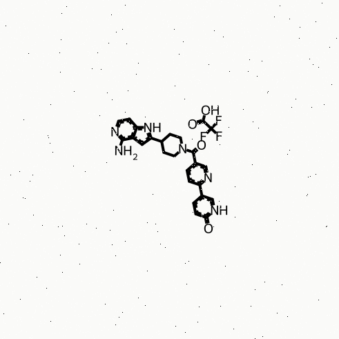 Nc1nccc2[nH]c(C3CCN(C(=O)c4ccc(-c5ccc(=O)[nH]c5)nc4)CC3)cc12.O=C(O)C(F)(F)F